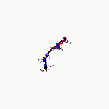 CNC(=O)c1ccc(NCC#Cc2cc3c(NC4CCN(CCCCCCC(=O)NCc5ccc(-c6c7ncn(CC8(O)CCN(C(=O)C[C@@H](C)c9ccccc9)CC8)c(=O)c7nn6C)cc5)CC4)cccc3n2CC(F)(F)F)c(OC)c1